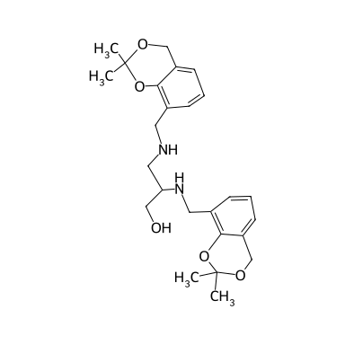 CC1(C)OCc2cccc(CNCC(CO)NCc3cccc4c3OC(C)(C)OC4)c2O1